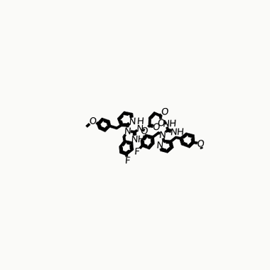 COc1ccc(Cc2cccnc2N(Cc2ccc(F)cc2)C(=N)NOC(=O)/C=C\C(=O)ONC(=N)N(Cc2ccc(F)cc2)c2ncccc2Cc2ccc(OC)cc2)cc1